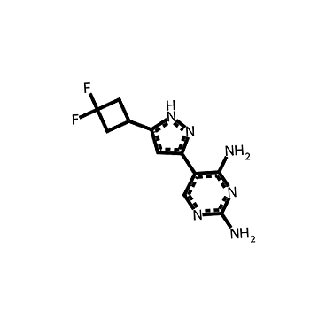 Nc1ncc(-c2cc(C3CC(F)(F)C3)[nH]n2)c(N)n1